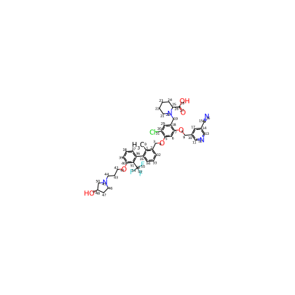 Cc1c(COc2cc(OCc3cncc(C#N)c3)c(CN3CCCCC3C(=O)O)cc2Cl)cccc1-c1cccc(OCCCN2CCC(O)C2)c1C(F)(F)F